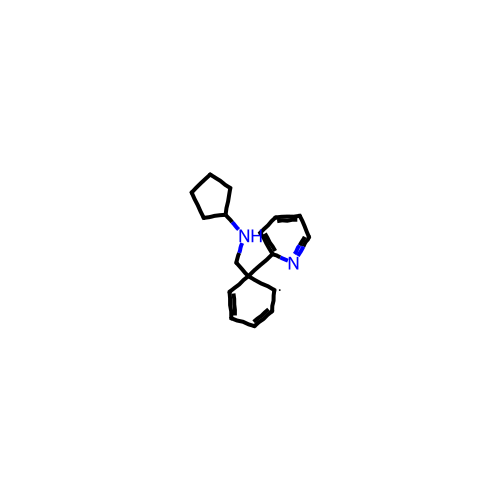 [CH]1C=CC=CC1(CNC1CCCC1)c1ccccn1